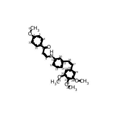 COc1ccc(C(=O)/C=C\Nc2cccc(/C=C\c3cc(OC)c(OC)c(OC)c3)c2)cc1